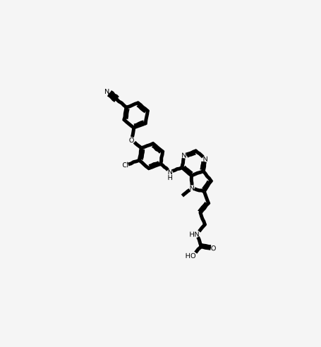 Cn1c(/C=C/CNC(=O)O)cc2ncnc(Nc3ccc(Oc4cccc(C#N)c4)c(Cl)c3)c21